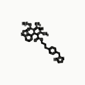 COC(=O)C1=C(C)NC(C)=C(C(=O)OCC=Cc2ccc(Cc3ncc[nH]3)cc2)C1c1cccc2ncsc12